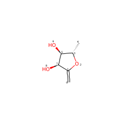 C=C1O[C@@H](C)[C@H](O)[C@@H]1O